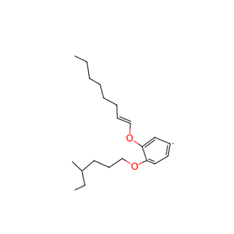 CCCCCCC=COc1c[c]ccc1OCCCC(C)CC